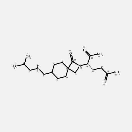 CC(C)CNCC1CCC2(CC1)CN([C@@H](CCC(N)=O)C(N)=O)C2=O